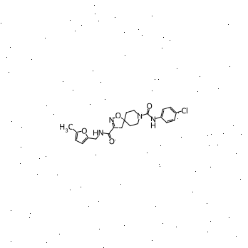 Cc1ccc(CNC(=O)C2=NOC3(CCN(C(=O)Nc4ccc(Cl)cc4)CC3)C2)o1